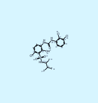 O=C(Nc1ccc(Cl)c(S(=O)(=O)NC(F)C(F)F)c1O)Nc1cccc(Cl)c1Cl